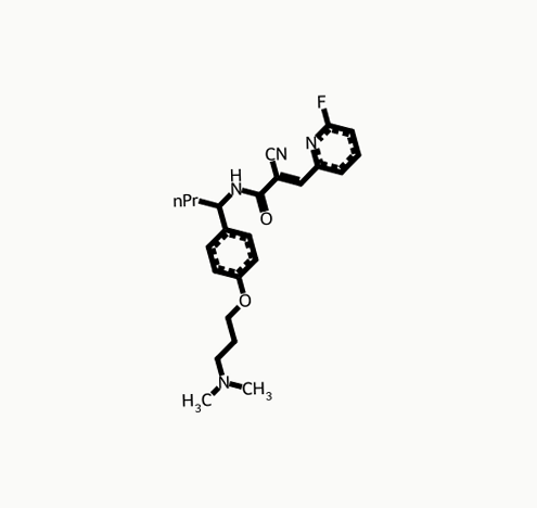 CCCC(NC(=O)/C(C#N)=C/c1cccc(F)n1)c1ccc(OCCCN(C)C)cc1